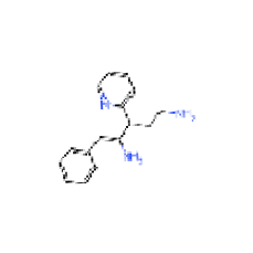 NCCC(C(N)=Cc1ccccc1)c1ccccn1